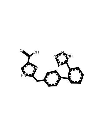 O=C(O)c1c[nH]c(Cc2ccc(-c3ccccc3-c3nnn[nH]3)cc2)n1